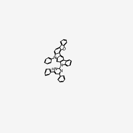 C1=C(c2ccccc2)NC(n2c3ccccc3c3cc4c5c6oc7ccccc7c6ccc5n(-c5ccccc5)c4cc32)N=C1c1ccccc1